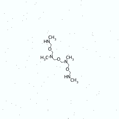 CNCOCN(C)COCN(C)COCNC